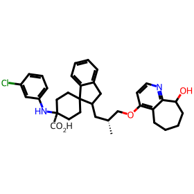 C[C@@H](COc1ccnc2c1CCCCC2O)CC1Cc2ccccc2C12CCC(Nc1cccc(Cl)c1)(C(=O)O)CC2